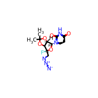 CC1(C)OC2[C@H](O1)[C@H](n1ccc(=O)[nH]c1=O)O[C@]2(F)CN=[N+]=[N-]